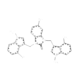 Cc1cccc2c1c(Cn1c(=O)n(Cc3cn(C)c4cccc(C(C)C)c34)c3ccc(N)cc31)cn2C